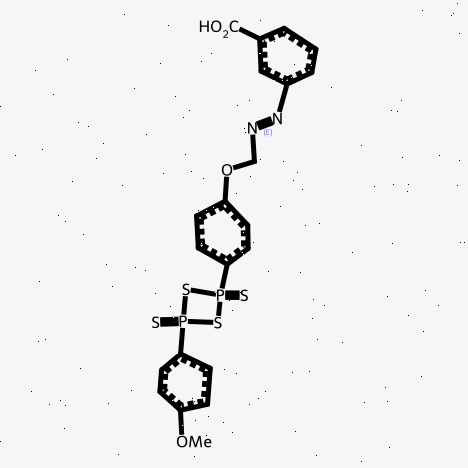 COc1ccc(P2(=S)SP(=S)(c3ccc(OC/N=N/c4cccc(C(=O)O)c4)cc3)S2)cc1